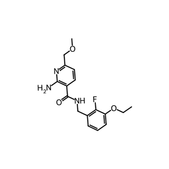 CCOc1cccc(CNC(=O)c2ccc(COC)nc2N)c1F